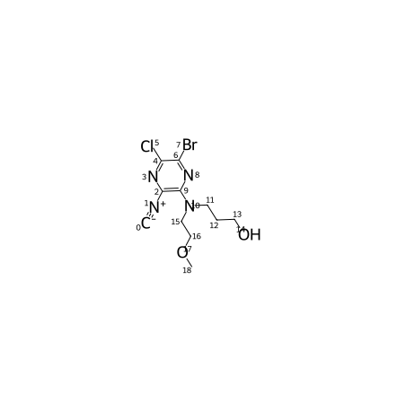 [C-]#[N+]c1nc(Cl)c(Br)nc1N(CCCO)CCOC